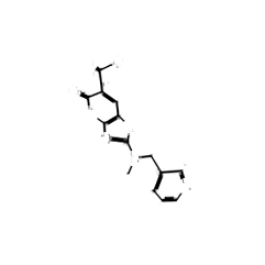 CN(Cc1cccnc1)c1nc2oc(=O)c(C(=O)O)cc2s1